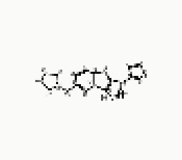 c1cc(-c2n[nH]c3c2Cc2ccc(CN4CCCC4)cc2-3)cs1